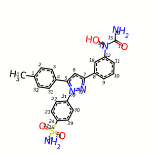 Cc1ccc(-c2cc(-c3cccc(N(O)C(N)=O)c3)nn2-c2ccc(S(N)(=O)=O)cc2)cc1